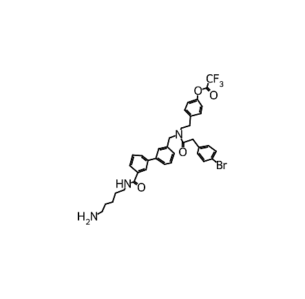 NCCCCCNC(=O)c1cccc(-c2cccc(CN(CCc3ccc(OC(=O)C(F)(F)F)cc3)C(=O)Cc3ccc(Br)cc3)c2)c1